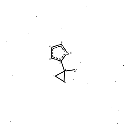 [CH2]C1(c2cccs2)CC1